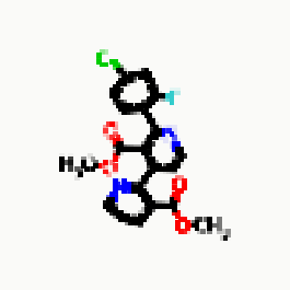 COC(=O)c1cccnc1-c1ccnc(-c2ccc(Cl)cc2F)c1C(=O)OC